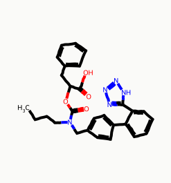 CCCCN(Cc1ccc(-c2ccccc2-c2nnn[nH]2)cc1)C(=O)OC(Cc1ccccc1)C(=O)O